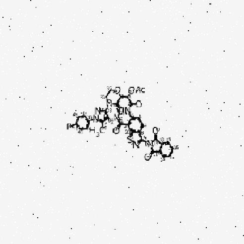 CC(=O)OC(C(=O)Nc1ccc2c(N3C(=O)c4ccccc4C3=O)nsc2c1C(N)=O)C1OCCN(c2cc(C)n(-c3ccc(F)cc3)n2)C1=O